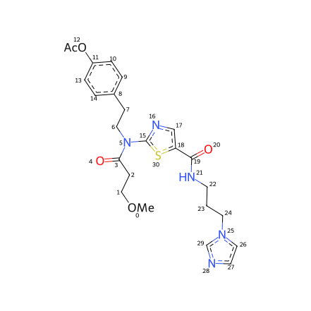 COCCC(=O)N(CCc1ccc(OC(C)=O)cc1)c1ncc(C(=O)NCCCn2ccnc2)s1